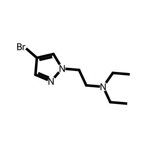 CCN(CC)CCn1cc(Br)cn1